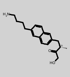 C[C@@H](Cc1ccc2cc(CCCCN)ccc2c1)C(=O)CO